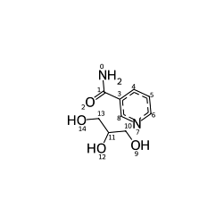 NC(=O)c1cccnc1.OCC(O)CO